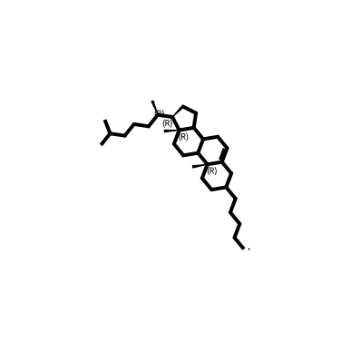 [CH2]CCCCC1CC[C@@]2(C)C(=CCC3C2CC[C@@]2(C)C3CC[C@@H]2[C@H](C)CCCC(C)C)C1